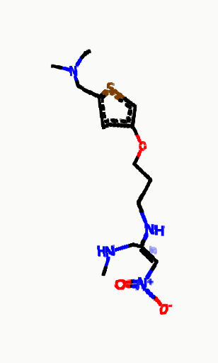 CN/C(=C\[N+](=O)[O-])NCCCOc1csc(CN(C)C)c1